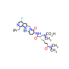 CC(C)Cc1ncc(F)c2cc(Cn3c(Cl)ccc(NC(=O)[C@@H](CC/C=C/C(=O)N(C)C)CN(C)C(=O)O)c3=O)[nH]c12